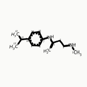 C=C(CCNC)Nc1ccc(C(C)C)cc1